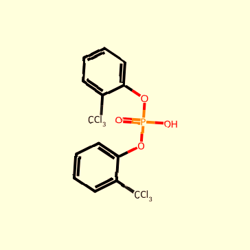 O=P(O)(Oc1ccccc1C(Cl)(Cl)Cl)Oc1ccccc1C(Cl)(Cl)Cl